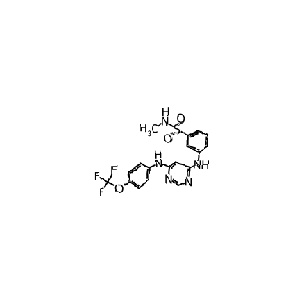 CNS(=O)(=O)c1cccc(Nc2cc(Nc3ccc(OC(F)(F)F)cc3)ncn2)c1